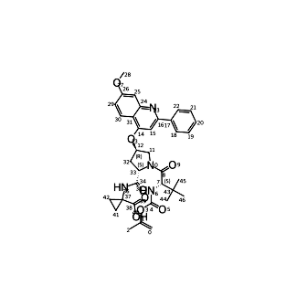 C=C(C)OC(=O)N[C@H](C(=O)N1C[C@H](Oc2cc(-c3ccccc3)nc3cc(OC)ccc23)C[C@H]1C(=O)NC1(C(=O)O)CC1)C(C)(C)C